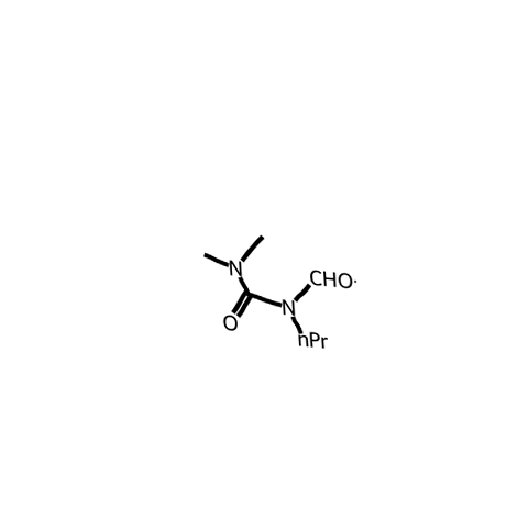 CCCN([C]=O)C(=O)N(C)C